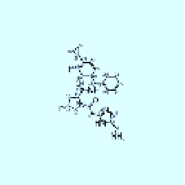 NCc1nnc(CC(=O)N2C[C@H](F)C[C@H]2C(=O)N[C@@H](c2ccccc2)c2ccc(C3CC3)c(F)c2)[nH]1